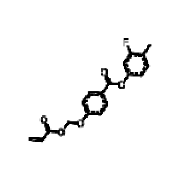 C=CC(=O)OCOc1ccc(C(=O)Oc2ccc(C)c(F)c2)cc1